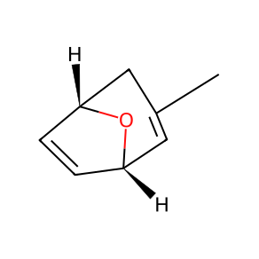 CC1=C[C@@H]2C=C[C@H](C1)O2